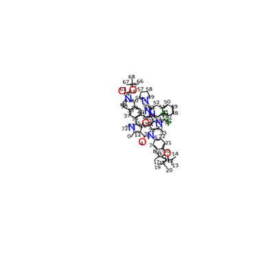 Cc1c(C(=O)N(c2ccc(O[Si](C(C)C)(C(C)C)C(C)C)cc2)c2cc(C#N)n(C(F)F)c2C)cc(-c2cc3c(cc2C(=O)N2Cc4ccccc4C[C@H]2CN2CCCC2)CN(C(=O)OC(C)(C)C)CC3)n1C